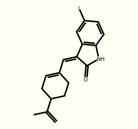 C=C(C)C1CC=C(C=C2C(=O)Nc3ccc(I)cc32)CC1